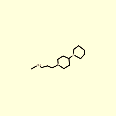 INCCCN1CCC(N2CCCCC2)CC1